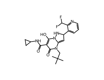 CC(C)(C)CN1C(=O)C(C(=O)NC2CC2)=C(O)N2NC(c3cccnc3C(F)F)C=C12